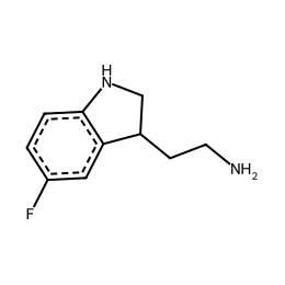 NCCC1CNc2ccc(F)cc21